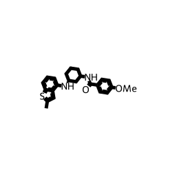 COc1ccc(C(=O)NC2CCC[C@H](Nc3cccc4sc(C)cc34)C2)cc1